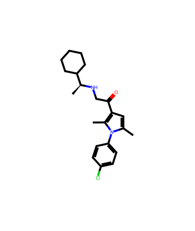 Cc1cc(C(=O)CN[C@@H](C)C2CCCCC2)c(C)n1-c1ccc(Cl)cc1